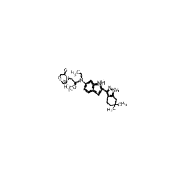 CCN(C(=O)CN1C(=O)COC[C@H]1C)c1ccc2cc(-c3n[nH]c4c3CCC(C)(C)C4)[nH]c2c1